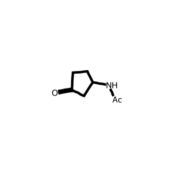 CC(=O)NC1CCC(=O)C1